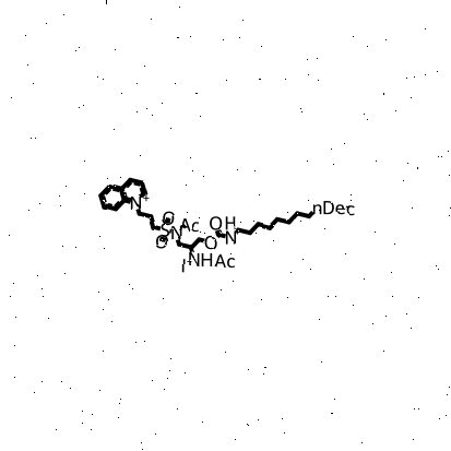 CCCCCCCCCCCCCCCCCCNC(=O)OCC(CN(C(C)=O)S(=O)(=O)CCC[n+]1cccc2ccccc21)NC(C)=O.[I-]